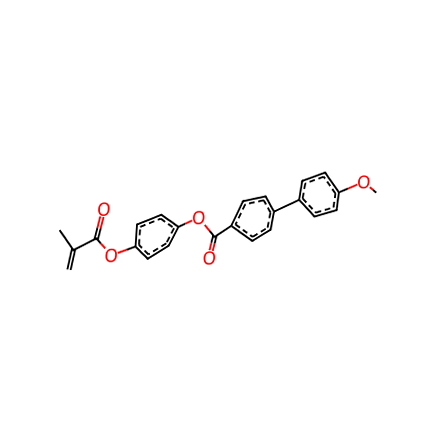 C=C(C)C(=O)Oc1ccc(OC(=O)c2ccc(-c3ccc(OC)cc3)cc2)cc1